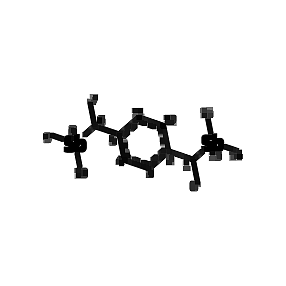 C[CH](c1ccc([CH](C)[Sb]([CH3])[CH3])cc1)[Sb]([CH3])[CH3]